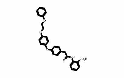 O=C(Cc1ccc(Oc2ccc(OCCOc3ccccc3)cc2)cc1)Nc1ccccc1C(=O)O